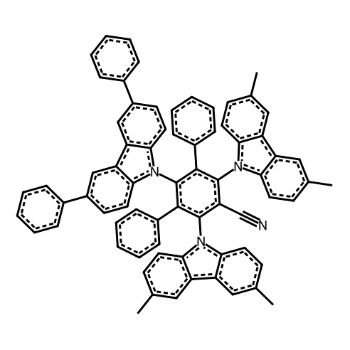 Cc1ccc2c(c1)c1cc(C)ccc1n2-c1c(C#N)c(-n2c3ccc(C)cc3c3cc(C)ccc32)c(-c2ccccc2)c(-n2c3ccc(-c4ccccc4)cc3c3cc(-c4ccccc4)ccc32)c1-c1ccccc1